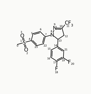 CS(=O)(=O)c1ccc(N2N=C(C(F)(F)F)CC2c2ccc(F)c(F)c2)cc1